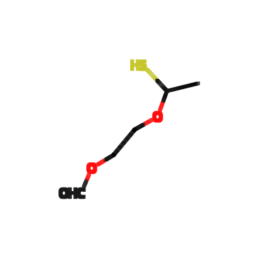 CC(S)OCCOC=O